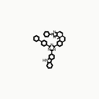 CC12c3cc(-c4nc(-c5ccc(-c6ccccc6)cc5)nc(-c5ccc6c(c5)[nH]c5ccccc56)n4)ccc3C=CC1C=Cc1nn(-c3ccccc3)nc12